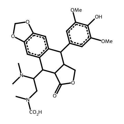 COc1cc(C2c3cc4c(cc3C(C(CN(C)C(=O)O)N(C)C)C3C(=O)OCC23)OCO4)cc(OC)c1O